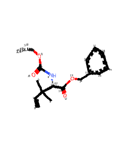 C=CC(C)(C)[C@H](NC(=O)OC(C)(C)C)C(=O)OCc1ccccc1